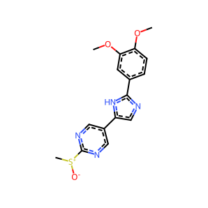 COc1ccc(-c2ncc(-c3cnc([S+](C)[O-])nc3)[nH]2)cc1OC